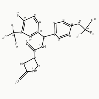 O=C1NCC(C(=O)NC(c2ccc(OC(F)(F)F)cc2)c2ccc(F)c(C(F)(F)F)n2)N1